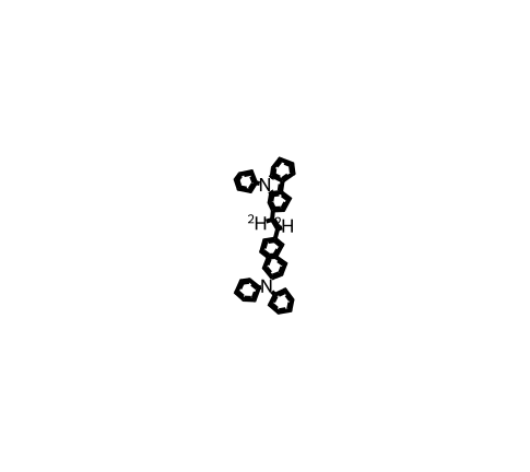 [2H]/C(=C(/[2H])c1ccc2c3ccccc3n(-c3ccccc3)c2c1)c1ccc2cc(N(c3ccccc3)c3ccccc3)ccc2c1